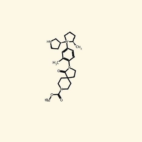 Cc1cc([N+]2([C@H]3CCNC3)CCC[C@H]2C)ccc1N1CCC2(CCN(C(=O)OC(C)(C)C)CC2)C1=O